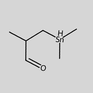 CC(C=O)[CH2][SnH]([CH3])[CH3]